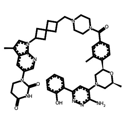 Cc1cc(C(=O)N2CCN(CC3CC4(C3)CC(n3cc(C)c5cc(N6CCC(=O)NC6=O)cnc53)C4)CC2)ccc1[C@@H]1CN(c2cc(-c3ccccc3O)nnc2N)C[C@H](C)O1